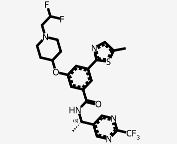 Cc1cnc(-c2cc(OC3CCN(CC(F)F)CC3)cc(C(=O)N[C@@H](C)c3cnc(C(F)(F)F)nc3)c2)s1